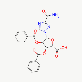 NC(=O)c1ncn([C@@H]2O[C@H](C(=O)O)[C@@H](OC(=O)c3ccccc3)[C@H]2OC(=O)c2ccccc2)n1